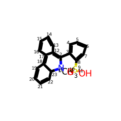 CN1C(c2ccccc2S(=O)O)=c2ccccc2=C2C=CC=CC21